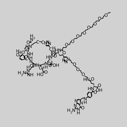 CCOCCOCCOCCOCCOCCOCCOCCOCCC(=O)N[C@@H](CCc1cn(CCOCCOCCOCCNC(=O)CC[C@H](NC(=O)c2ccc(NCc3cnc4nc(N)[nH]c(=O)c4n3)cc2)C(=O)O)nn1)C(=O)N[C@H]1Cc2cn(nn2)CCCC[C@@H](C(N)=O)NC(=O)[C@@H]([C@H](C)O)NC(=O)[C@@H](Cc2ccc(O)cc2)NC(=O)[C@@H](CCCNC(=N)N)NC(=O)[C@@H](CCC(=O)O)NC(=O)[C@@H](CC(=O)O)NC1=O